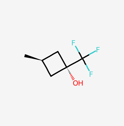 C[C@H]1C[C@@](O)(C(F)(F)F)C1